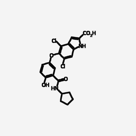 O=C(O)c1cc2c(Cl)c(Oc3ccc(O)c(C(=O)NC4CCCC4)c3)c(Cl)cc2[nH]1